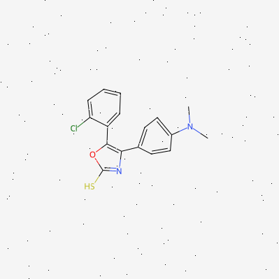 CN(C)c1ccc(-c2nc(S)oc2-c2ccccc2Cl)cc1